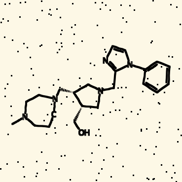 CN1CCCN(C[C@@H]2CN(Cc3nccn3-c3ccccc3)C[C@@H]2CO)CC1